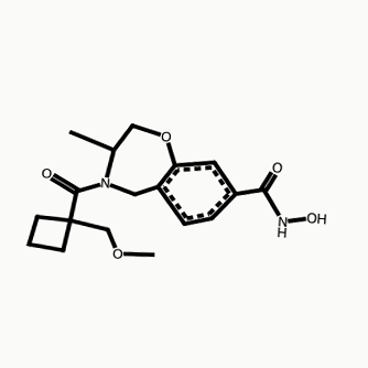 COCC1(C(=O)N2Cc3ccc(C(=O)NO)cc3OCC2C)CCC1